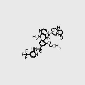 CCOc1cc(C(=O)Nc2cc(C(F)(F)F)ccn2)ccc1-c1nc([C@H]2CN3C(=O)CC[C@@H]3CO2)n2ccnc(N)c12